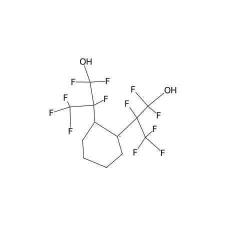 OC(F)(F)C(F)([C]1CCCCC1C(F)(C(O)(F)F)C(F)(F)F)C(F)(F)F